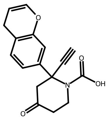 C#CC1(c2ccc3c(c2)OC=CC3)CC(=O)CCN1C(=O)O